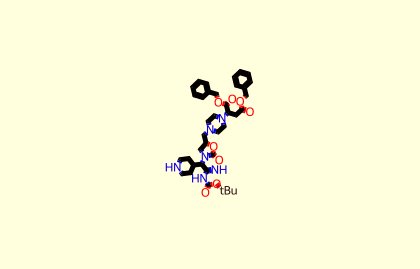 CC(C)(C)OC(=O)NC(=N)C(C1CCNCC1)N1CC(CN2CCN(C(CC(=O)OCc3ccccc3)C(=O)OCc3ccccc3)CC2)OC1=O